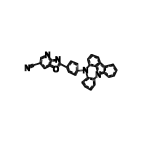 N#Cc1cnc2nc(-c3ccc(N4c5ccccc5-n5c6ccccc6c6cccc4c65)cc3)oc2c1